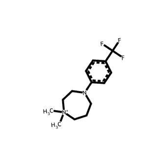 C[N+]1(C)CCCN(c2ccc(C(F)(F)F)cc2)CC1